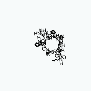 CCCC[C@@H]1NC(=O)N(CC(=O)N[C@H]2CSSC(C)(C)[C@@H](C(C)=O)NC(=O)[C@H](Cc3c[nH]c4ccccc34)NC(=O)[C@H](CCCNC(=N)N)NC(=O)[C@@H](Cc3ccccc3)NC(=O)[C@H](Cc3cnc[nH]3)NC(=O)[C@@H](C)NC2=O)C1=O